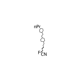 CCCC1CCC(CCC2CCC(CCC=CC=C(F)C#N)CC2)CC1